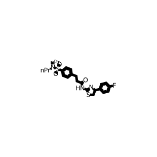 CCCN(CCC)S(=O)(=O)c1ccc(CCC(=O)NC2=NC(c3ccc(F)cc3)CS2)cc1